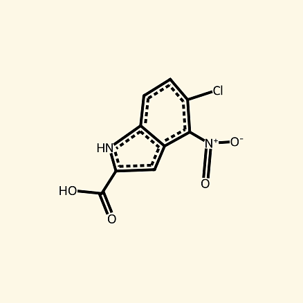 O=C(O)c1cc2c([N+](=O)[O-])c(Cl)ccc2[nH]1